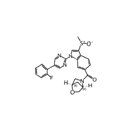 C[S+]([O-])c1cn(-c2ncc(-c3ccccc3F)cn2)c2cc(C(=O)N3C[C@H]4C[C@@H]3CO4)ccc12